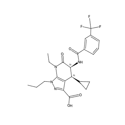 CCCn1nc(C(=O)O)c2c1N(CC)C(=O)[C@@H](NC(=O)c1cccc(C(F)(F)F)c1)[C@H]2C1CC1